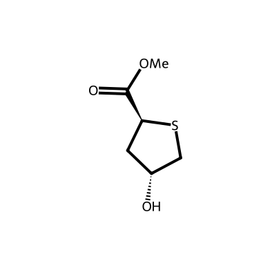 COC(=O)[C@@H]1C[C@@H](O)CS1